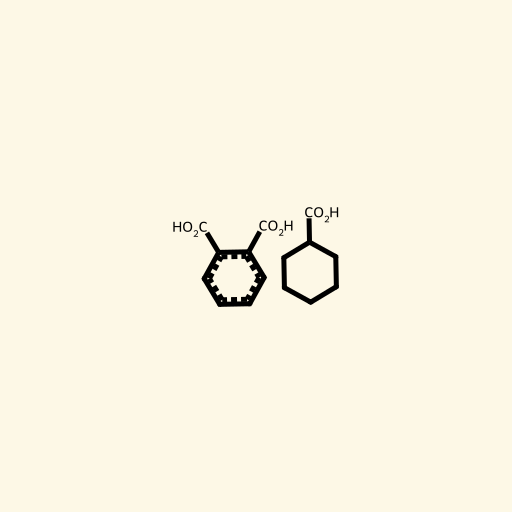 O=C(O)C1CCCCC1.O=C(O)c1ccccc1C(=O)O